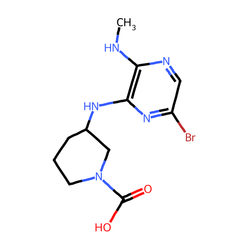 CNc1ncc(Br)nc1NC1CCCN(C(=O)O)C1